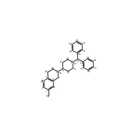 Fc1cnc2c(c1)CN(C1CCN(C(c3ccccc3)c3ccccc3)CC1)CC2